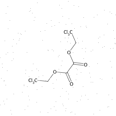 O=C(OCC(Cl)(Cl)Cl)C(=O)OCC(Cl)(Cl)Cl